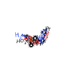 CC(C)N1CCN(C(=O)NN2CCN(C(C)C)C2C(=O)N[C@H]2C=CC=C(CC(=O)c3ccccc3[C@@H](OS(=O)(=O)ON3CC(N)C3=O)C(=O)O)C2=O)C1=O